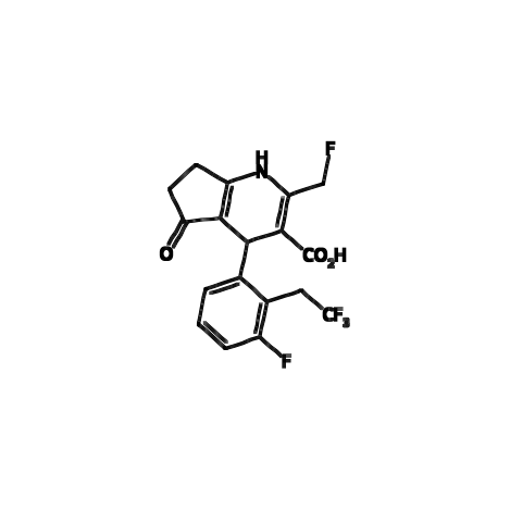 O=C(O)C1=C(CF)NC2=C(C(=O)CC2)C1c1cccc(F)c1CC(F)(F)F